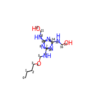 CCCCOCNc1nc(NCO)nc(NCO)n1